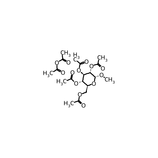 CC(=O)OC(C)=O.CO[C@@H]1O[C@@H](COC(C)=O)[C@H](OC(C)=O)[C@@H](OC(C)=O)[C@@H]1OC(C)=O